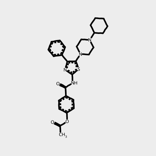 CC(=O)Oc1ccc(C(=O)Nc2nc(-c3ccccc3)c(N3CCN(C4CCCCC4)CC3)s2)cc1